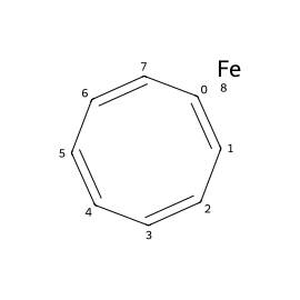 C1=C\C=C/C=C\C=C/1.[Fe]